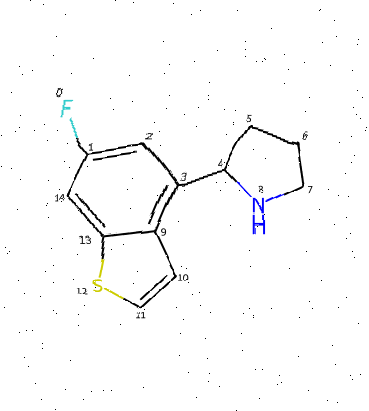 Fc1cc(C2CCCN2)c2ccsc2c1